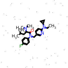 CCN(c1ccc(CN(C(=O)C(CC(C)C)N(C)C)c2ccc(F)cc2)cn1)C1CC1